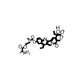 CCc1c2c(nc3ccc(OC(=O)N(C)CCOC(=O)[C@H](C)N)cc13)-c1cc3c(c(=O)n1C2)COC(=O)[C@]3(O)CC